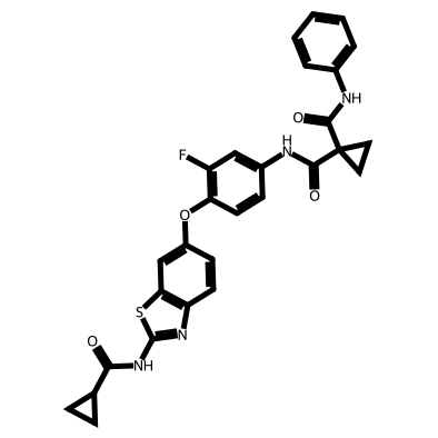 O=C(Nc1nc2ccc(Oc3ccc(NC(=O)C4(C(=O)Nc5ccccc5)CC4)cc3F)cc2s1)C1CC1